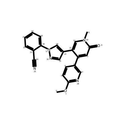 COc1ccc(-c2cc(=O)n(C)cc2-c2cnn(-c3ccccc3C#N)c2)cn1